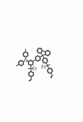 C=Cc1ccc(C(C)(CC)c2ccc(C3(c4ccc(-c5cc(N(c6ccc(C)cc6)c6ccc(C)cc6)cc(C(C)(CC)c6ccc(C=C)cc6)c5)cc4)c4ccccc4-c4ccccc43)cc2)cc1